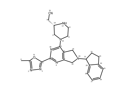 Cc1nnc(-c2nc3c(c(N4CCN[C@@H](CC#N)C4)n2)CN(C2CCc4ccccc42)C3)o1